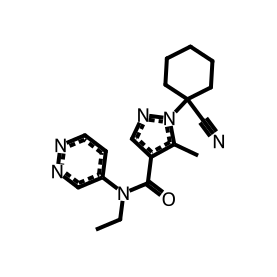 CCN(C(=O)c1cnn(C2(C#N)CCCCC2)c1C)c1ccnnc1